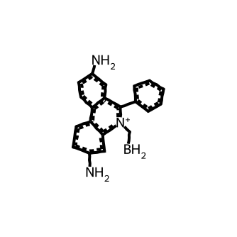 BC[n+]1c(-c2ccccc2)c2cc(N)ccc2c2ccc(N)cc21